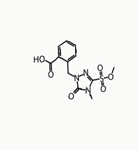 COS(=O)(=O)c1nn(Cc2ccccc2C(=O)O)c(=O)n1C